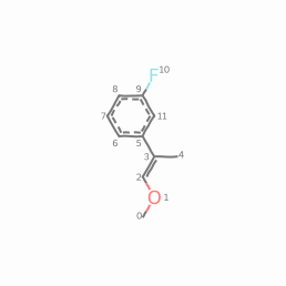 CO/C=C(\C)c1cccc(F)c1